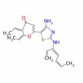 C=C/C(=C\C=C/C)Nc1nc(N)c(-c2cc(=O)c(=C/C)/c(=C\C)o2)s1